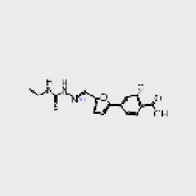 CCNC(=S)N/N=C/c1ccc(-c2ccc(C(=O)O)c(Cl)c2)o1